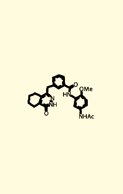 COc1ccc(NC(C)=O)cc1NC(=O)c1cccc(Cc2n[nH]c(=O)c3c2CCCC3)c1